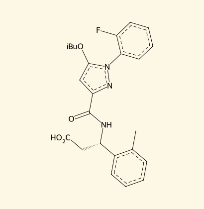 Cc1ccccc1[C@H](CC(=O)O)NC(=O)c1cc(OCC(C)C)n(-c2ccccc2F)n1